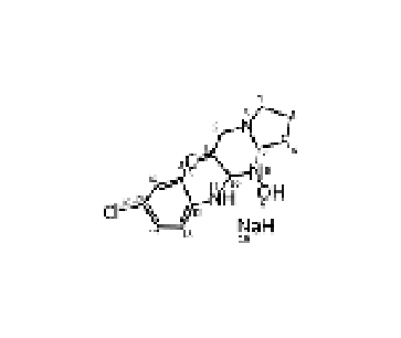 O=C1CN2CCSC2N(O)C1Nc1ccc(Cl)cc1.[NaH]